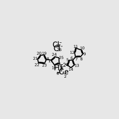 [CH3][Ge]([CH3])=[Hf+2]([C]1=CC(c2ccccc2)=CC1)[C]1=CC(c2ccccc2)=CC1.[Cl-].[Cl-]